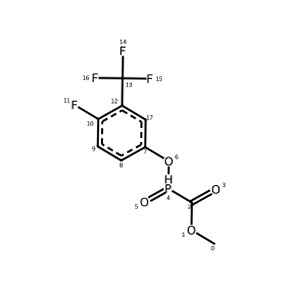 COC(=O)[PH](=O)Oc1ccc(F)c(C(F)(F)F)c1